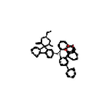 C=C1CC(CC)CC(C)C12c1ccccc1-c1ccc(N(c3ccc(-c4ccccc4)cc3-c3ccccc3)c3cccc4sc5ccccc5c34)cc12